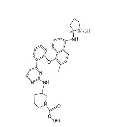 Cc1ccc2c(N[C@H]3CCC[C@@H]3O)cccc2c1Oc1ncccc1-c1ccnc(NC2CCCN(C(=O)OC(C)(C)C)C2)n1